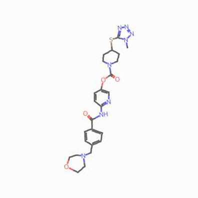 Cn1nnnc1SC1CCN(C(=O)Oc2ccc(NC(=O)c3ccc(CN4CCOCC4)cc3)nc2)CC1